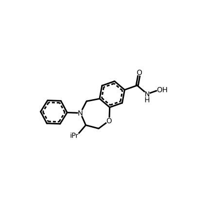 CC(C)C1COc2cc(C(=O)NO)ccc2CN1c1ccccc1